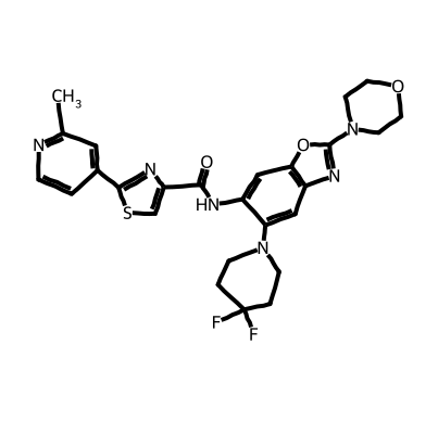 Cc1cc(-c2nc(C(=O)Nc3cc4oc(N5CCOCC5)nc4cc3N3CCC(F)(F)CC3)cs2)ccn1